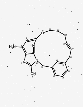 Nc1nc2nc3c1nc(O)n3Cc1cccc(c1)C/C=C/CCCO2